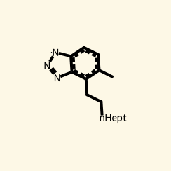 CCCCCCCCCc1c(C)ccc2c1N=N[N]2